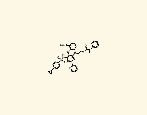 COc1ccccc1Oc1c(NS(=O)(=O)c2ccc(C3CC3)cc2)nc(-c2ncccn2)nc1OCCOC(=O)Nc1ccccn1